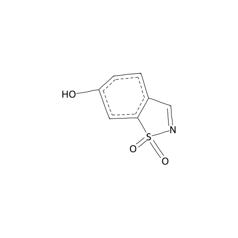 O=S1(=O)N=Cc2ccc(O)cc21